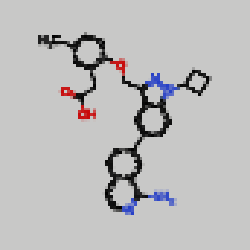 Cc1ccc(OCc2nn(C3CCC3)c3ccc(-c4ccc5ccnc(N)c5c4)cc23)c(CC(=O)O)c1